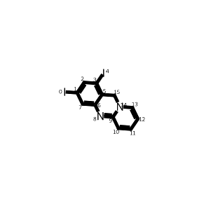 Ic1cc(I)c2c(c1)N=C1C=CC=CN1C2